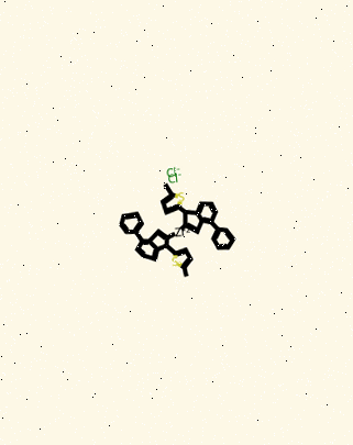 Cc1ccc(C2[C]([Zr+2][C]3=Cc4c(-c5ccccc5)cccc4C3c3ccc(C)s3)=Cc3c(-c4ccccc4)cccc32)s1.[Cl-].[Cl-]